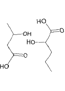 CC(O)CC(=O)O.CCCC(O)C(=O)O